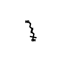 CC(C)(O)CN=NCCO